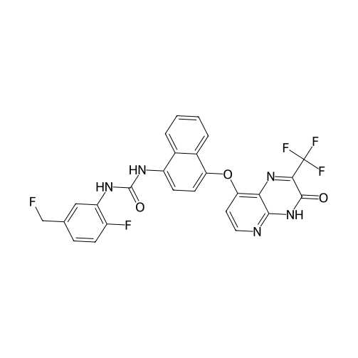 O=C(Nc1cc(CF)ccc1F)Nc1ccc(Oc2ccnc3[nH]c(=O)c(C(F)(F)F)nc23)c2ccccc12